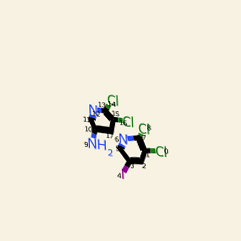 Clc1cc(I)cnc1Cl.Nc1cnc(Cl)c(Cl)c1